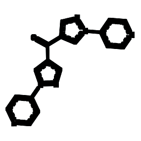 O=C(c1cnn(-c2ccncc2)c1)c1cnn(-c2ccncc2)c1